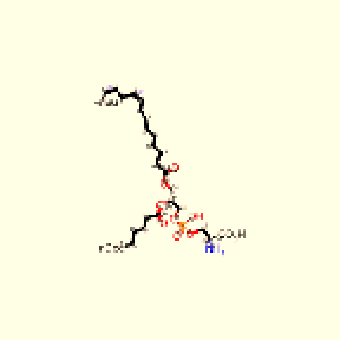 CCCC/C=C\C/C=C\CCCCCCCC(=O)OC[C@H](COP(=O)(O)OC[C@H](N)C(=O)O)OC(=O)CCCCCCCCCCCCCC